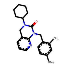 COc1ccc(CN2C(=O)N(C3CCCCC3)Cc3cccnc32)c(C)c1